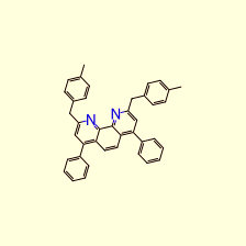 Cc1ccc(Cc2cc(-c3ccccc3)c3ccc4c(-c5ccccc5)cc(Cc5ccc(C)cc5)nc4c3n2)cc1